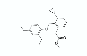 CCc1ccc(OCc2c(CC(=O)OC)cccc2C2CC2)c(CC)c1